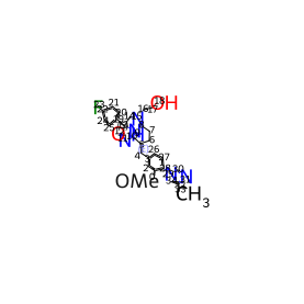 COc1cc(/C=C2\CCCN3C2=NO[C@]3(CNCCO)c2ccc(F)cc2)ccc1-n1cnc(C)c1